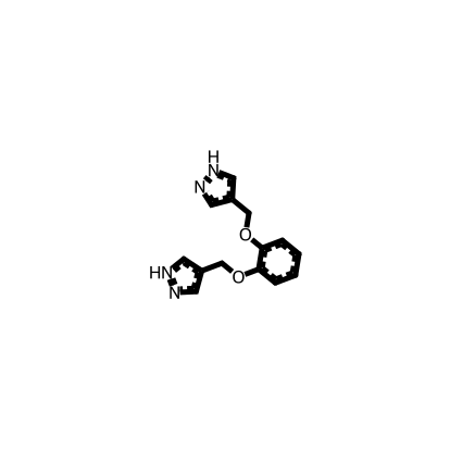 c1ccc(OCc2cn[nH]c2)c(OCc2cn[nH]c2)c1